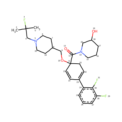 CC(C)(F)CN1CCC(COC2(C(=O)N3CCCC(O)C3)C=CC(c3cccc(F)c3F)=CC2)CC1